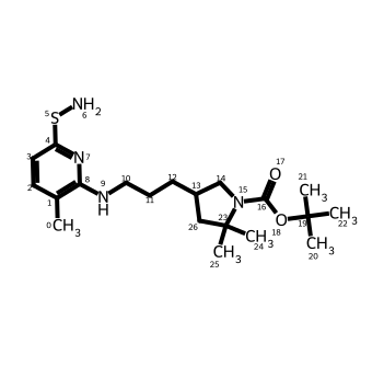 Cc1ccc(SN)nc1NCCCC1CN(C(=O)OC(C)(C)C)C(C)(C)C1